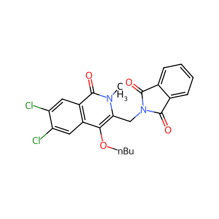 CCCCOc1c(CN2C(=O)c3ccccc3C2=O)n(C)c(=O)c2cc(Cl)c(Cl)cc12